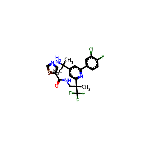 CC(C)(N)c1cc(-c2ccc(F)c(Cl)c2)nc(C(C)(CNC(=O)c2cncs2)C(F)(F)F)c1